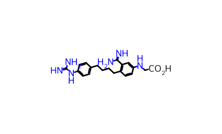 N=C(N)Nc1ccc(CCCCc2ccc(NCC(=O)O)cc2C(=N)N)cc1